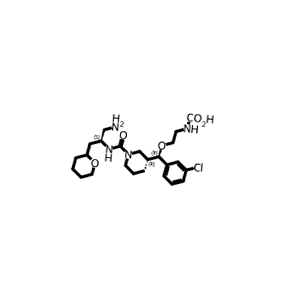 NC[C@H](CC1CCCCO1)NC(=O)N1CCC[C@@H]([C@@H](OCCNC(=O)O)c2cccc(Cl)c2)C1